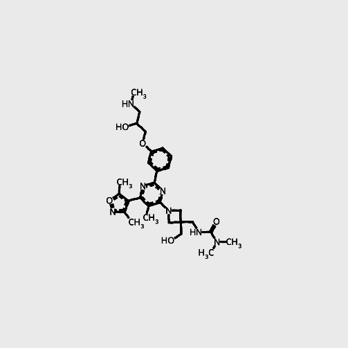 CNCC(O)COc1cccc(-c2nc(-c3c(C)noc3C)c(C)c(N3CC(CO)(CNC(=O)N(C)C)C3)n2)c1